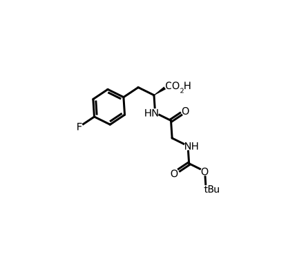 CC(C)(C)OC(=O)NCC(=O)N[C@@H](Cc1ccc(F)cc1)C(=O)O